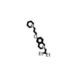 CCC(CC)CN1CCc2cc(OCCCN3CCCCC3)ccc2C1